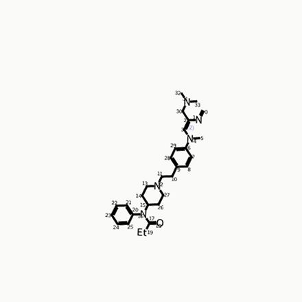 C=N/C(=C\N(C)c1ccc(CCN2CCC(N(C(=O)CC)c3ccccc3)CC2)cc1)CN(C)C